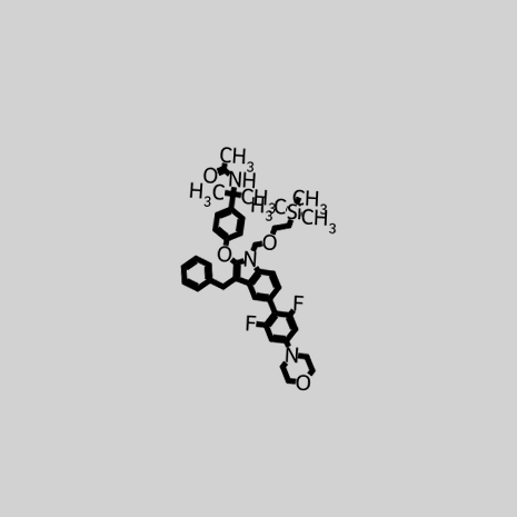 CC(=O)NC(C)(C)c1ccc(Oc2c(Cc3ccccc3)c3cc(-c4c(F)cc(N5CCOCC5)cc4F)ccc3n2COCC[Si](C)(C)C)cc1